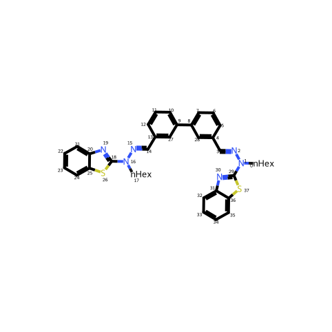 CCCCCCN(/N=C/c1cccc(-c2cccc(/C=N/N(CCCCCC)c3nc4ccccc4s3)c2)c1)c1nc2ccccc2s1